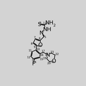 NC(=S)N/N=C/c1ccc(-c2ccc(F)cc2CN2CCOCC2)o1